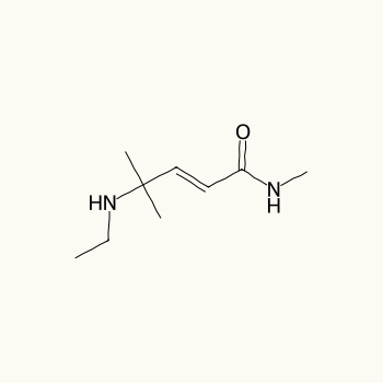 CCNC(C)(C)/C=C/C(=O)NC